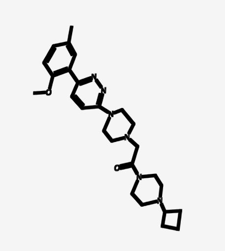 COc1ccc(C)cc1-c1ccc(N2CCN(CC(=O)N3CCN(C4CCC4)CC3)CC2)nn1